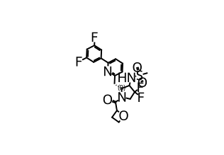 CS(=O)(=O)NC1[C@@H](Cc2cccc(-c3cc(F)cc(F)c3)n2)N(C(=O)C2CCO2)CC1(F)F